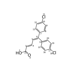 O=C(O)/C=C/C=C(c1ccc(Cl)cc1)c1ccc(Cl)cc1